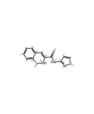 O=C(Nc1ccon1)C1=Cc2ccccc2SN1